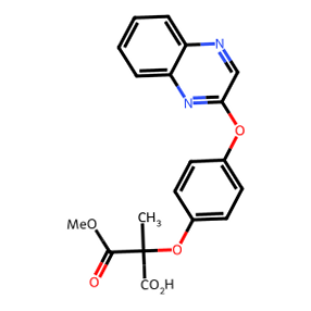 COC(=O)C(C)(Oc1ccc(Oc2cnc3ccccc3n2)cc1)C(=O)O